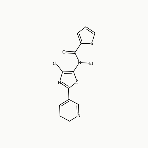 CCN(C(=O)c1cccs1)c1sc(C2=CCCN=C2)nc1Cl